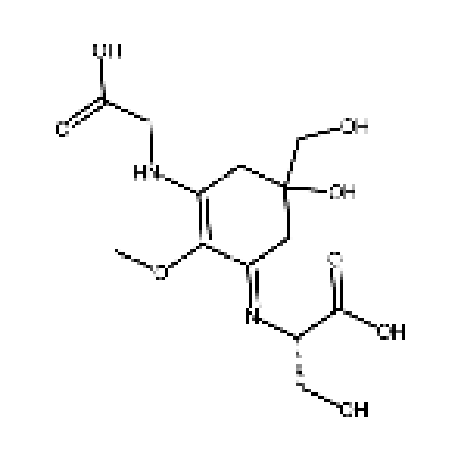 COC1=C(NCC(=O)O)CC(O)(CO)C/C1=N\[C@@H](CO)C(=O)O